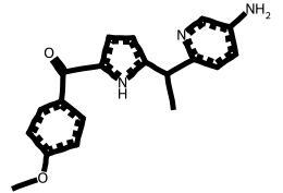 COc1ccc(C(=O)c2ccc(C(C)c3ccc(N)cn3)[nH]2)cc1